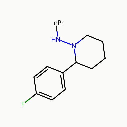 CCCNN1CCCCC1c1ccc(F)cc1